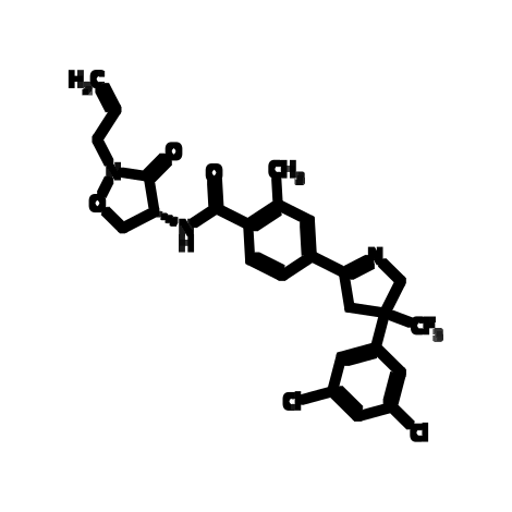 C=CCN1OC[C@@H](NC(=O)c2ccc(C3=NCC(c4cc(Cl)cc(Cl)c4)(C(F)(F)F)C3)cc2C)C1=O